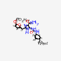 CCCCCc1ccc(NC(=O)Nc2[nH]c(Cc3ccc(OC(=O)O)o3)nc2C(N)=O)cc1